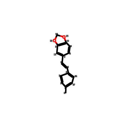 Cc1ccc(/C=C/c2ccc3c(c2)OCO3)cc1